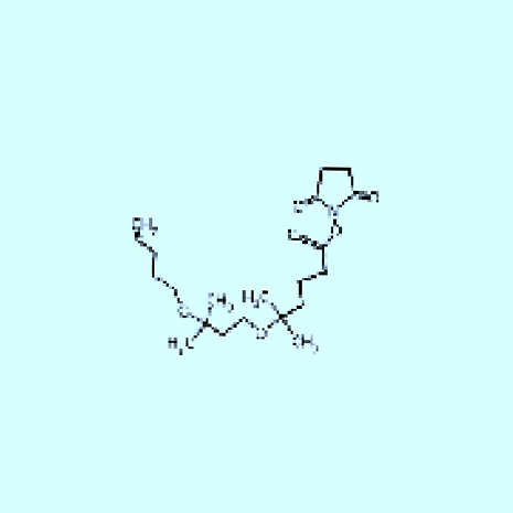 C=CCCCOC(C)(C)CCOC(C)(C)CCCC(=O)ON1C(=O)CCC1=O